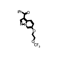 CC(C)C(=O)c1cnn2cc(OCCOC(F)(F)F)ccc12